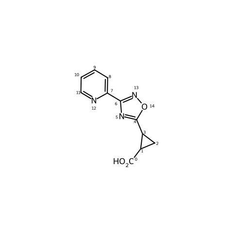 O=C(O)C1CC1c1nc(-c2ccccn2)no1